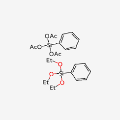 CC(=O)O[Si](OC(C)=O)(OC(C)=O)c1ccccc1.CCO[Si](OCC)(OCC)c1ccccc1